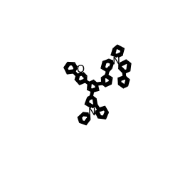 c1ccc(-c2cccc(N(c3ccccc3)c3cccc(-c4cccc(-c5cc(-c6ccc7c(c6)oc6ccccc67)cc(-c6ccc7c(c6)c6ccccc6n7-c6ccccc6)c5)c4)c3)c2)cc1